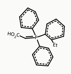 CCc1ccccc1P(=CC(=O)O)(c1ccccc1)c1ccccc1